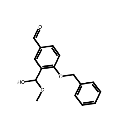 COC(O)c1cc(C=O)ccc1OCc1ccccc1